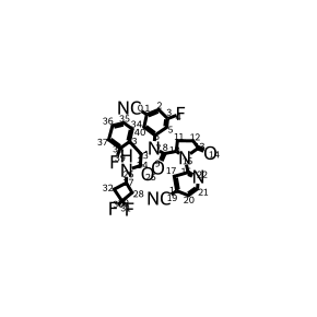 N#Cc1cc(F)cc(N(C(=O)C2CCC(=O)N2c2cc(C#N)ccn2)[C@H](C(=O)NC2CC(F)(F)C2)c2ccccc2F)c1